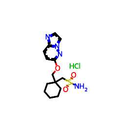 Cl.NS(=O)(=O)CC1(COc2ccc3nccn3n2)CCCCC1